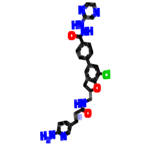 Nc1ccc(/C=C/C(=O)NCC2Cc3cc(-c4ccc(C(=O)NNc5cnccn5)cc4)cc(Cl)c3O2)cn1